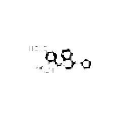 C1CCCC1.COc1cc(C(=O)O)ccc1C(NC(C)=O)n1ccc(=O)c2ccccc21